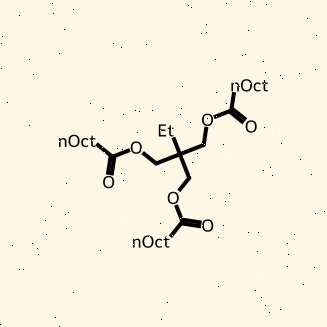 CCCCCCCCC(=O)OCC(CC)(COC(=O)CCCCCCCC)COC(=O)CCCCCCCC